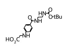 CC(C)(C)OC(=O)NCCNC(=O)c1ccc(NCC(=O)O)cc1